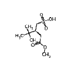 COC(=O)C[C@H](CS(=O)(=O)O)C(C)(C)C